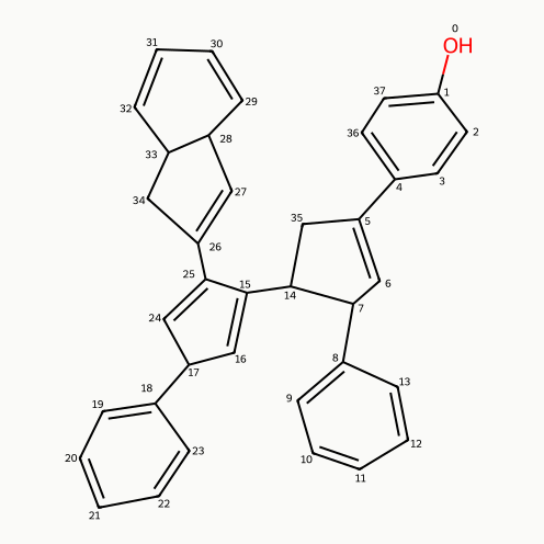 Oc1ccc(C2=CC(c3ccccc3)C(C3=CC(c4ccccc4)C=C3C3=CC4C=CC=CC4C3)C2)cc1